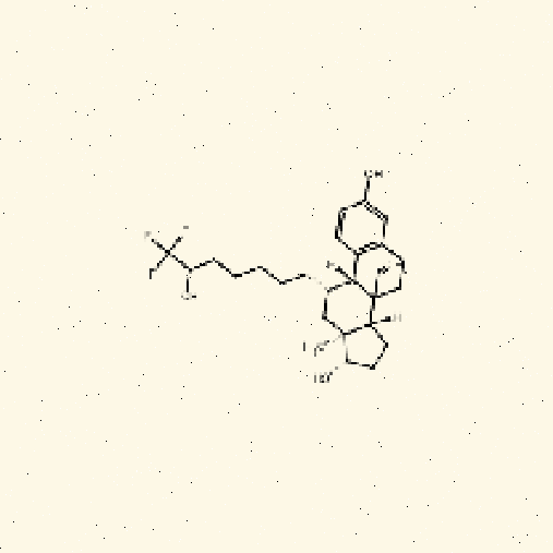 C=CC12CCc3cc(O)ccc3[C@H]1[C@@H](CCCCCC(O)C(F)(F)F)C[C@]1(C)[C@@H](O)CC[C@@H]21